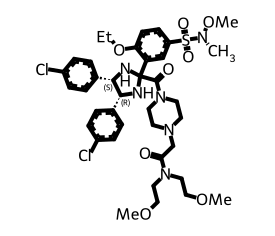 CCOc1ccc(S(=O)(=O)N(C)OC)cc1C1(C(=O)N2CCN(CC(=O)N(CCOC)CCOC)CC2)N[C@H](c2ccc(Cl)cc2)[C@H](c2ccc(Cl)cc2)N1